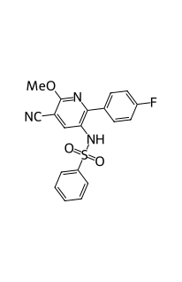 COc1nc(-c2ccc(F)cc2)c(NS(=O)(=O)c2ccccc2)cc1C#N